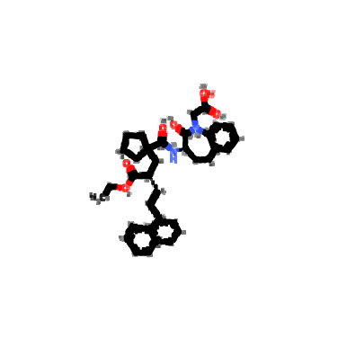 CCOC(=O)[C@@H](CCc1cccc2ccccc12)CC1(C(=O)N[C@H]2CCc3ccccc3N(CC(=O)O)C2=O)CCCC1